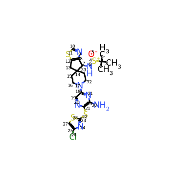 CC(C)(C)[S@@+]([O-])N[C@@H]1c2ncsc2CC12CCN(c1cnc(Sc3nc(Cl)cs3)c(N)n1)CC2